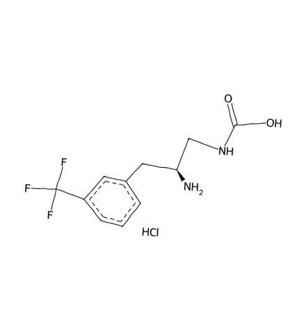 Cl.N[C@H](CNC(=O)O)Cc1cccc(C(F)(F)F)c1